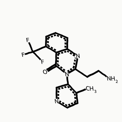 Cc1ccncc1-n1c(CCN)nc2cccc(C(F)(F)F)c2c1=O